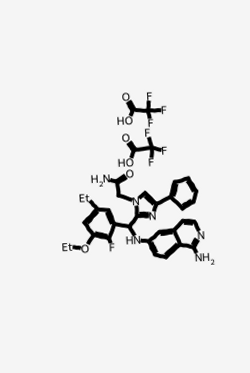 CCOc1cc(CC)cc(C(Nc2ccc3c(N)nccc3c2)c2nc(-c3ccccc3)cn2CC(N)=O)c1F.O=C(O)C(F)(F)F.O=C(O)C(F)(F)F